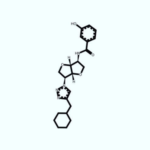 O=C(N[C@H]1CO[C@H]2[C@@H]1OC[C@@H]2n1cc(CC2CCCCC2)nn1)c1cccc(O)c1